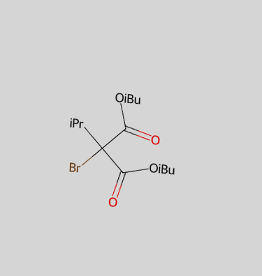 CC(C)COC(=O)C(Br)(C(=O)OCC(C)C)C(C)C